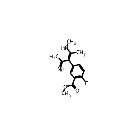 CN/C(C)=C(\C(C)=N)c1ccc(F)c(C(=O)OC)c1